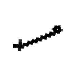 O=P(O)(O)OOCCCCCCCCCCCCOc1ccccc1